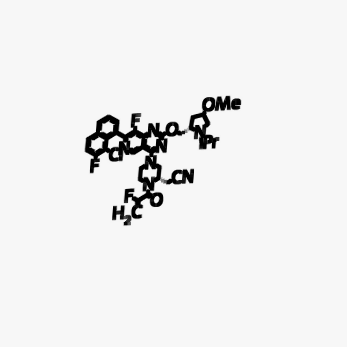 C=C(F)C(=O)N1CCN(c2nc(OC[C@@H]3C[C@@H](OC)CN3C(C)C)nc3c(F)c(-c4cccc5ccc(F)c(Cl)c45)ncc23)C[C@@H]1CC#N